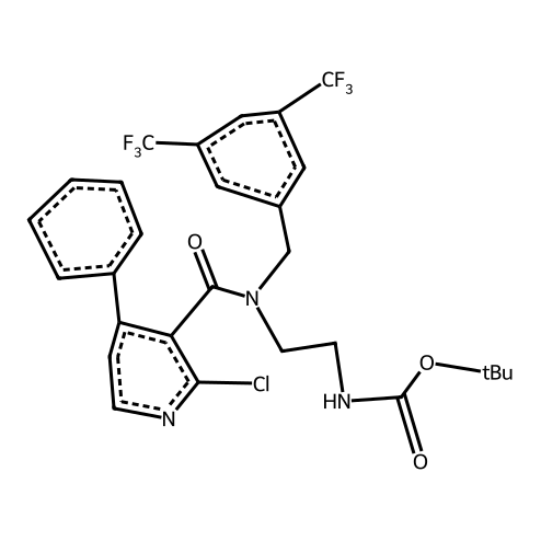 CC(C)(C)OC(=O)NCCN(Cc1cc(C(F)(F)F)cc(C(F)(F)F)c1)C(=O)c1c(-c2ccccc2)ccnc1Cl